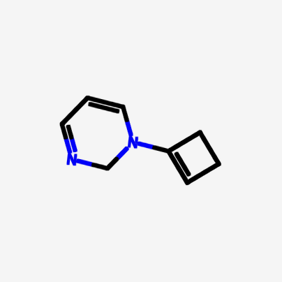 C1=CN(C2=CCC2)CN=C1